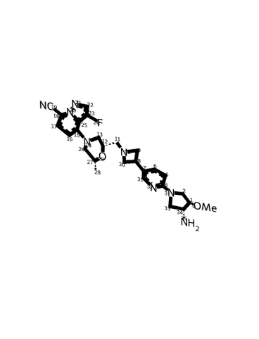 CO[C@@H]1CN(c2ccc(C3CN(C[C@H]4CN(c5ccc(C#N)n6ncc(F)c56)C[C@@H](C)O4)C3)cn2)C[C@H]1N